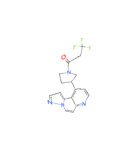 O=C(CC(F)(F)F)N1CCC(c2ccnc3ccn4nccc4c23)C1